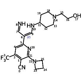 N#Cc1c(C(F)(F)F)cc(/C(C=N)=C/NC2CCN(CCO)CC2)nc1N1CCC1